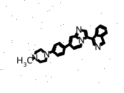 CN1CCN(c2ccc(-c3ccn4c(-c5cncc6ccccc56)cnc4c3)cc2)CC1